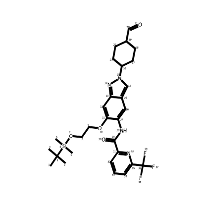 CC(C)(C)[Si](C)(C)OCCOc1cc2nn(C3CCC(C=O)CC3)cc2cc1NC(=O)c1cccc(C(F)(F)F)n1